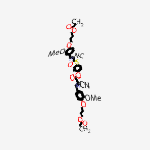 [C-]#[N+]/C(=C\c1ccc(OCCCCOC(=O)C=C)c(OC)c1)C(=O)Sc1ccc(OC(=O)/C(C#N)=C/c2ccc(OCCCCOC(=O)C=C)c(OC)c2)cc1